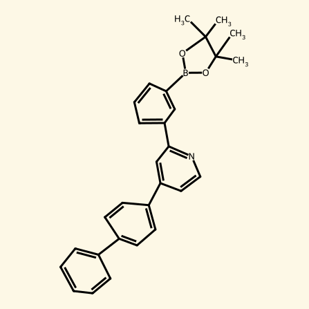 CC1(C)OB(c2cccc(-c3cc(-c4ccc(-c5ccccc5)cc4)ccn3)c2)OC1(C)C